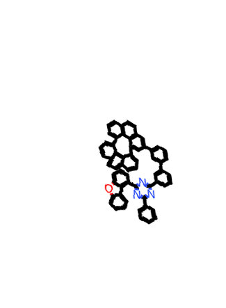 c1ccc(-c2nc(-c3cccc(-c4cccc(-c5cc6ccc7cccc8c9cccc%10ccc%11cccc(c(c5)c6c78)c%11c%109)c4)c3)nc(-c3cccc4oc5ccccc5c34)n2)cc1